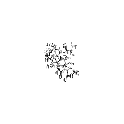 C/C=C(\C)C(=O)O[C@H]1C[C@@H](OC(C)=O)[C@]2(C)CO[C@@H]3[C@@H](O)[C@]4(C)[C@H]([C@H](O)[C@H](O)[C@]5(C)[C@H](C6=CC(=O)OC6=O)C(=O)[C@H]6O[C@]654)[C@]1(C)[C@@H]32